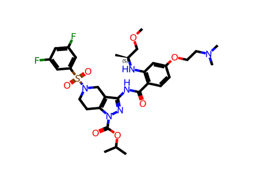 COC[C@H](C)Nc1cc(OCCN(C)C)ccc1C(=O)Nc1nn(C(=O)OC(C)C)c2c1CN(S(=O)(=O)c1cc(F)cc(F)c1)CC2